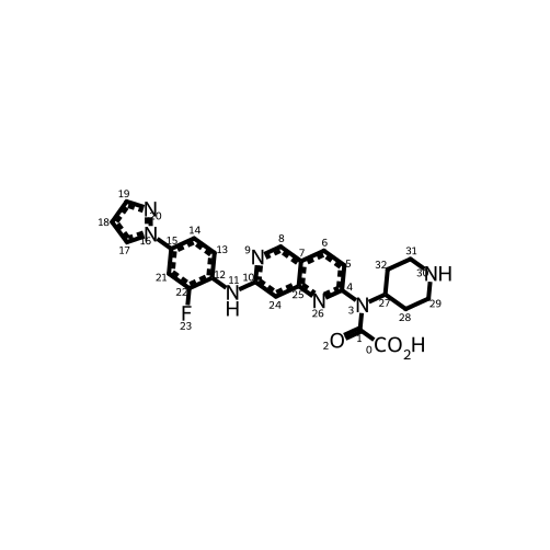 O=C(O)C(=O)N(c1ccc2cnc(Nc3ccc(-n4cccn4)cc3F)cc2n1)C1CCNCC1